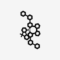 CC1(C)c2ccccc2-c2c(-n3c4ccc(-c5cccc(-c6ccccc6)c5)cc4c4ccccc4c4ccccc4c4cc(-c5cccc(-c6ccccc6)c5)ccc43)cccc21